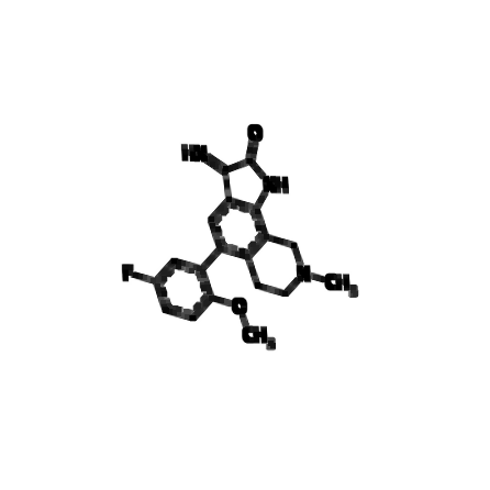 COc1ccc(F)cc1-c1cc2c(c3c1CCN(C)C3)NC(=O)C2=N